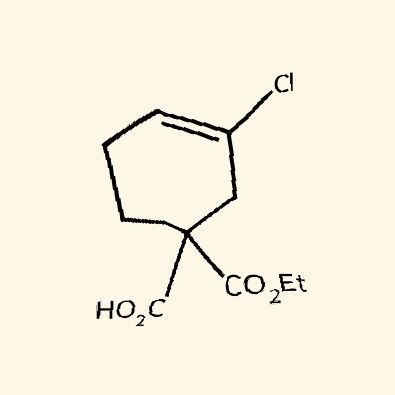 CCOC(=O)C1(C(=O)O)CCC=C(Cl)C1